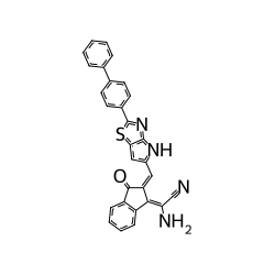 N#C/C(N)=C1\C(=C\c2cc3sc(-c4ccc(-c5ccccc5)cc4)nc3[nH]2)C(=O)c2ccccc21